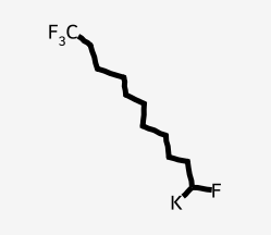 F[CH]([K])CCCCCCCCCC(F)(F)F